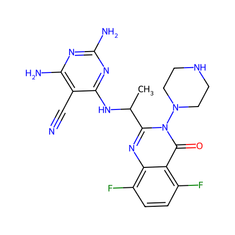 CC(Nc1nc(N)nc(N)c1C#N)c1nc2c(F)ccc(F)c2c(=O)n1N1CCNCC1